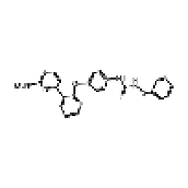 CNc1nccc(-c2cccnc2Oc2ccc(NC(=O)NSc3ccccc3)cc2)n1